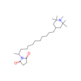 CC(CCCCCCCCCCC1CC(C)(C)N(C)C(C)(C)C1)N1C(=O)CCC1=O